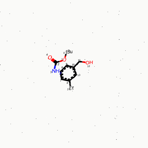 CC(C)(C)OC(N)=O.CCc1cccc(CO)c1